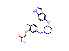 Cc1ccc(CN2CCCC(Nc3ccc4[nH]ncc4c3)C2)cc1OCC(N)=O